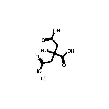 O=C(O)CC(O)(CC(=O)O)C(=O)O.[Li]